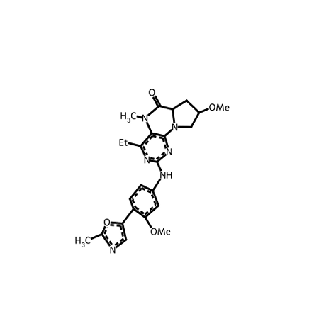 CCc1nc(Nc2ccc(-c3cnc(C)o3)c(OC)c2)nc2c1N(C)C(=O)C1CC(OC)CN21